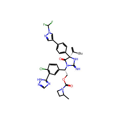 C=C(C(C)(C)C)[C@]1(c2ccc(-c3cnn(C(F)F)c3)cc2)NC(=N)N([C@H](COC(=O)N2CCC2C)c2ccc(Cl)c(-c3ncn[nH]3)c2)C1=O